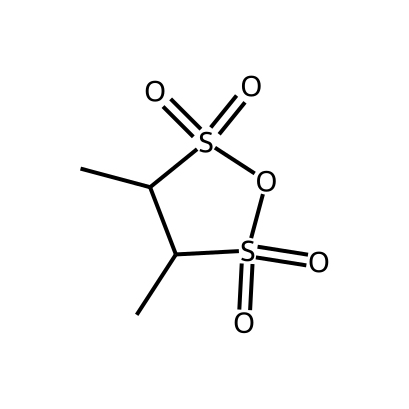 CC1C(C)S(=O)(=O)OS1(=O)=O